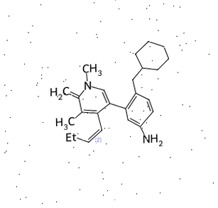 C=C1C(C)=C(/C=C\CC)C(c2cc(N)ccc2CC2CCCCC2)=CN1C